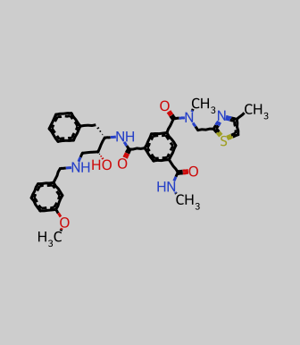 CNC(=O)c1cc(C(=O)N[C@@H](Cc2ccccc2)[C@H](O)CNCc2cccc(OC)c2)cc(C(=O)N(C)Cc2nc(C)cs2)c1